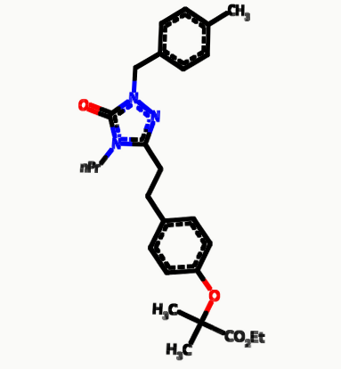 CCCn1c(CCc2ccc(OC(C)(C)C(=O)OCC)cc2)nn(Cc2ccc(C)cc2)c1=O